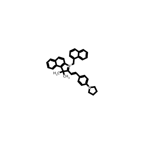 CC1(C)C(/C=C/c2ccc(N3CCCC3)cc2)=[N+](Cc2cccc3ccccc23)c2ccc3ccccc3c21